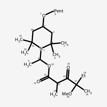 CCCC(C)OC1CC(C)(C)N(C(C)OC(=O)C(C)C(=O)C(C)(CC)OC)C(C)(C)C1